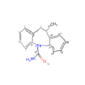 CC1Cc2ccccc2N(C(N)=O)c2ccccc21